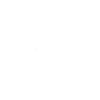 CCON(CC)C(=O)C(N)=O